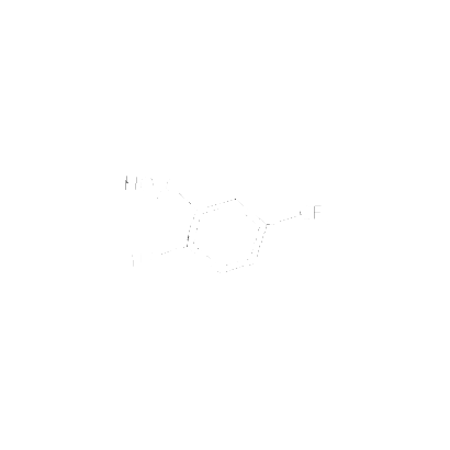 O=C(O)c1cc(C(F)(F)F)ccc1S